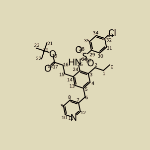 CCCc1cc(Cc2cccnc2)cc(CCC(=O)OC(C)(C)C)c1NS(=O)(=O)c1ccc(Cl)cc1